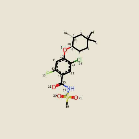 C[C@@H]1CC(C)(C)CC[C@H]1Oc1cc(F)c(C(=O)NS(C)(=O)=O)cc1Cl